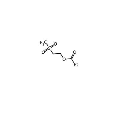 CCC(=O)OCCS(=O)(=O)C(F)(F)F